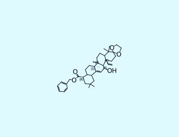 C=C[C@]12CCC3(OCCO3)C(C)(C)C1CC[C@]1(C)C2[C@@H](O)C=C2C3CC(C)(C)C[C@@H](C(=O)OCc4ccccc4)C3CC[C@]21C